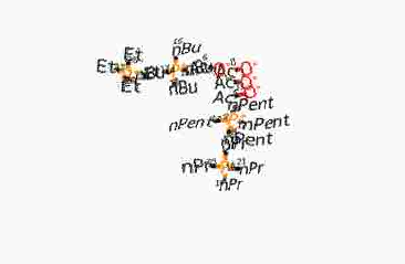 CC(=O)[O-].CC(=O)[O-].CC(=O)[O-].CC(=O)[O-].CCCCC[P+](CCCCC)(CCCCC)CCCCC.CCCC[P+](CCCC)(CCCC)CCCC.CCC[P+](CCC)(CCC)CCC.CC[P+](CC)(CC)CC